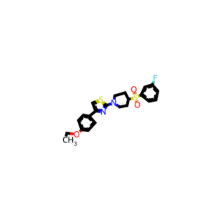 CCOc1ccc(-c2csc(N3CCC(S(=O)(=O)c4cccc(F)c4)CC3)n2)cc1